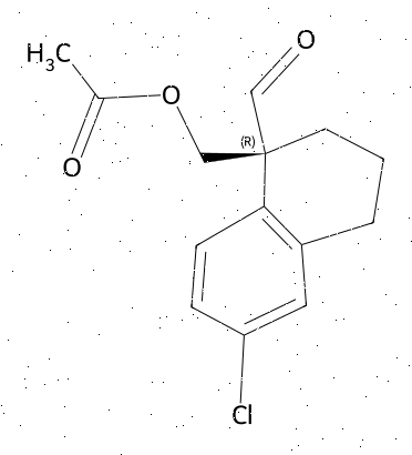 CC(=O)OC[C@@]1(C=O)CCCc2cc(Cl)ccc21